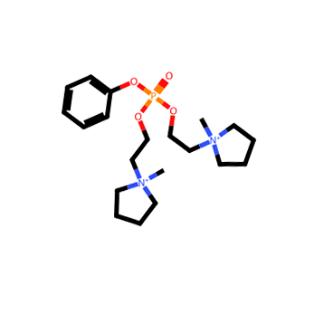 C[N+]1(CCOP(=O)(OCC[N+]2(C)CCCC2)Oc2ccccc2)CCCC1